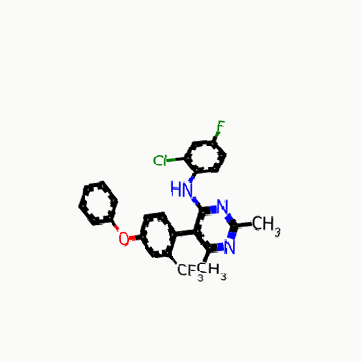 Cc1nc(C)c(-c2ccc(Oc3ccccc3)cc2C(F)(F)F)c(Nc2ccc(F)cc2Cl)n1